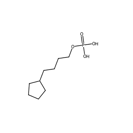 O=P(O)(O)OCCCCC1CCCC1